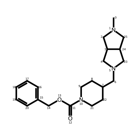 CN1CC2CN(CC3CCN(C(=O)OCc4ccccc4)CC3)CC2C1